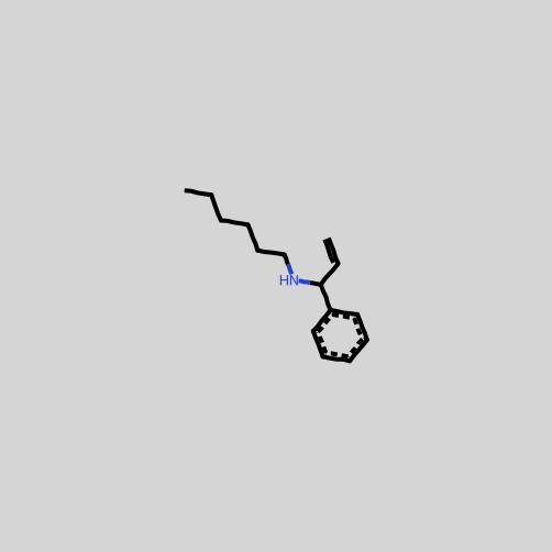 C=CC(NCCCCCC)c1ccccc1